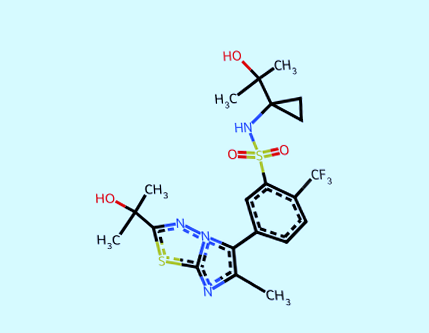 Cc1nc2sc(C(C)(C)O)nn2c1-c1ccc(C(F)(F)F)c(S(=O)(=O)NC2(C(C)(C)O)CC2)c1